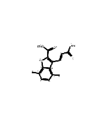 COC(=O)/C=C/c1c(C(=O)OC)[nH]c2c(C)ccc(C)c12